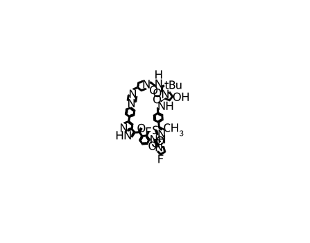 Cc1ncsc1-c1ccc(CNC(=O)[C@@H]2C[C@@H](O)CN2C(=O)C(NC(=O)CN2CCC(CN3CCN(c4ccc(-c5cnc6[nH]cc(C(=O)c7cccc(NS(=O)(=O)N8CC[C@@H](F)C8)c7F)c6c5)cc4)CC3)CC2)C(C)(C)C)cc1